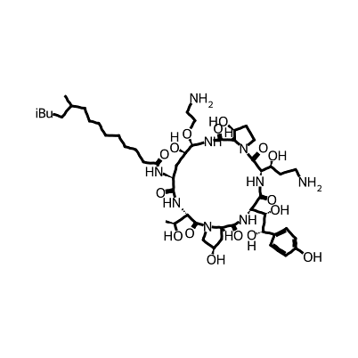 CCC(C)CC(C)CCCCCCCCC(=O)N[C@H]1C[C@@H](O)[C@@H](OCCN)NC(=O)[C@@H]2[C@@H](O)CCN2C(=O)[C@H]([C@@H](O)CCN)NC(=O)[C@H]([C@H](O)[C@@H](O)c2ccc(O)cc2)NC(=O)[C@@H]2C[C@@H](O)CN2C(=O)[C@H]([C@H](C)O)NC1=O